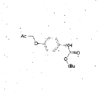 CC(=O)COc1ccc(NC(=O)OC(C)(C)C)cc1